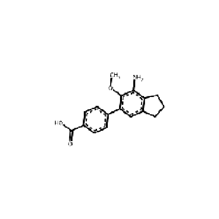 COc1c(-c2ccc(C(=O)O)cc2)cc2c(c1N)CCC2